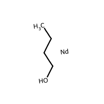 CCCCO.[Nd]